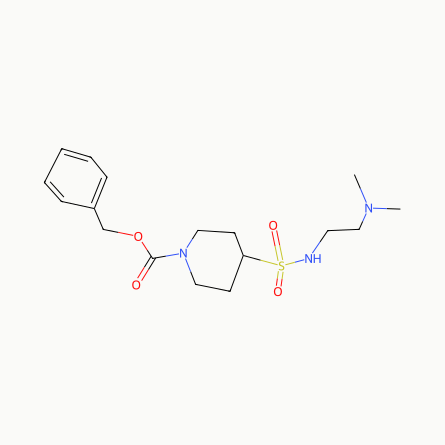 CN(C)CCNS(=O)(=O)C1CCN(C(=O)OCc2ccccc2)CC1